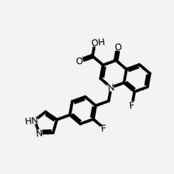 O=C(O)c1cn(Cc2ccc(-c3cn[nH]c3)cc2F)c2c(F)cccc2c1=O